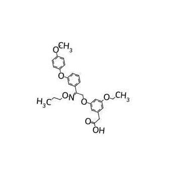 CCCON=C(COc1cc(CC(=O)O)cc(OCC)c1)c1cccc(Oc2ccc(OC)cc2)c1